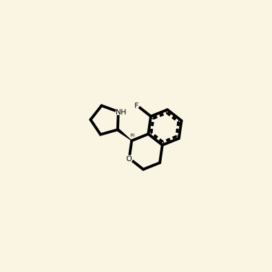 Fc1cccc2c1[C@H](C1CCCN1)OCC2